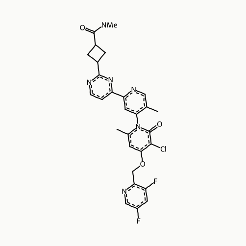 CNC(=O)C1CC(c2nccc(-c3cc(-n4c(C)cc(OCc5ncc(F)cc5F)c(Cl)c4=O)c(C)cn3)n2)C1